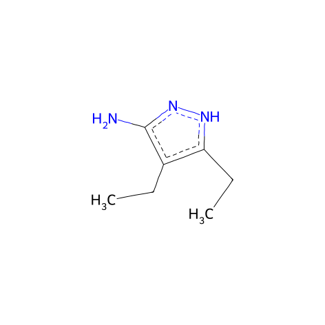 CCc1[nH]nc(N)c1CC